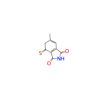 CC1=CC2=C(C(=O)NC2=O)C(=S)C1